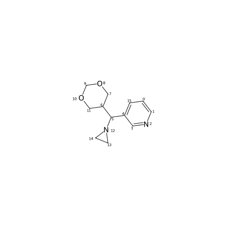 c1cncc(C(C2COCOC2)N2CC2)c1